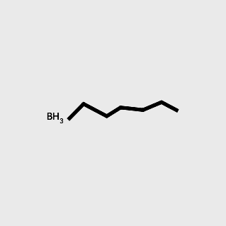 B.CCCCCCC